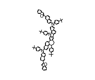 CC(C)(C)c1ccc(C2CCc3cc4c5ccc6cc(N(c7ccc(C(C)(C)C)cc7)c7ccc8cc(-c9cc%10ccccc%10o9)ccc8c7)ccc6c5n(-c5ccc(C(C)(C)C)cc5)c4cc3-c3ccc4cc(N(c5ccc(C(C)(C)C)cc5)c5ccc6cc(-c7cc8ccccc8o7)ccc6c5)ccc4c32)cc1